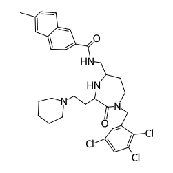 Cc1ccc2cc(C(=O)NCC3CCN(Cc4cc(Cl)cc(Cl)c4Cl)C(=O)C(CCN4CCCCC4)N3)ccc2c1